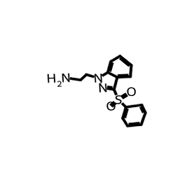 NCCn1nc(S(=O)(=O)c2ccccc2)c2ccccc21